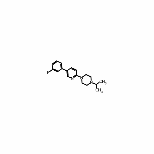 CC(C)N1CCN(c2ccc(-c3cccc(F)c3)cn2)CC1